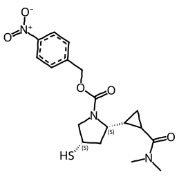 CN(C)C(=O)C1CC1[C@@H]1C[C@H](S)CN1C(=O)OCc1ccc([N+](=O)[O-])cc1